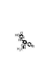 C=CC(=O)Nc1cc(Nc2ncc(Cl)c(O)n2)ccc1N1CCN(CC)CC1